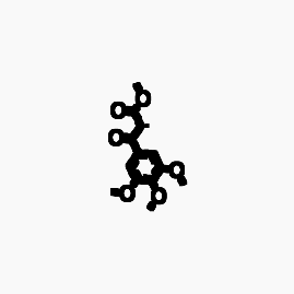 COC(=O)[CH]C(=O)c1cc(OC)c(OC)c(OC)c1